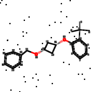 CC(C)(C)c1ccccc1O[C@H]1C[C@@H](OCc2ccccc2)C1